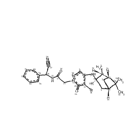 C[C@@H]1[C@H]2C[C@@H](C[C@H]1Nc1cnn(CC(=O)NC(C#N)c3ccccc3)c(=O)c1Br)C2(C)C